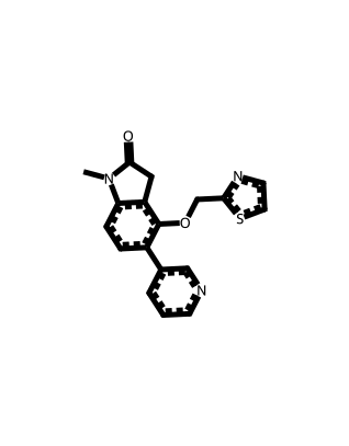 CN1C(=O)Cc2c1ccc(-c1cccnc1)c2OCc1nccs1